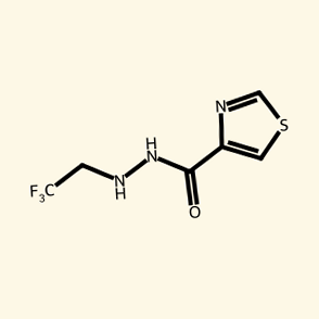 O=C(NNCC(F)(F)F)c1cscn1